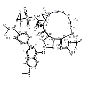 COc1ccc2c(O[C@@H]3C[C@H]4C(=O)N[C@]5(C(=O)NS(=O)(=O)C6(C)CC6)C[C@H]5/C=C\CC[C@H](C)C[C@@H](C)[C@H](N(C(=O)O)C(C)(C)C)C(=O)N4C3)nc(-c3ccc(OC(C)C)c(F)c3)cc2c1